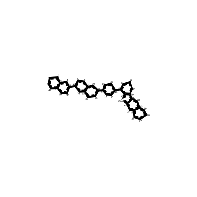 c1ccc2cc(-c3ccc4cc(-c5ccc(-c6cccc7c6sc6cc8ccccc8cc67)cc5)ccc4c3)ccc2c1